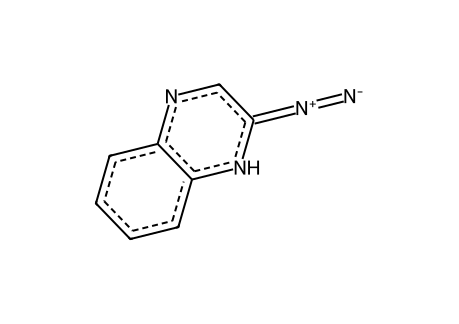 [N-]=[N+]=c1cnc2ccccc2[nH]1